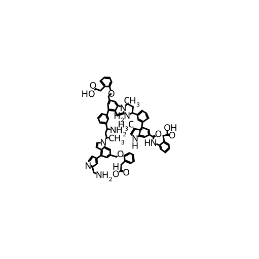 Cc1c[nH]c2cc(C(=O)Nc3ccccc3CC(=O)O)cc(-c3cccc(C(N)CC(C)n4ccc5c(-c6cccc(C(N)CC(C)n7ccc8c(-c9ccnc(CN)c9)cc(COc9ccccc9CC(=O)O)cc87)c6)cc(COc6ccccc6CC(=O)O)cc54)c3)c12